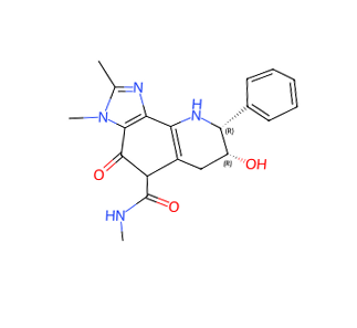 CNC(=O)C1C(=O)c2c(nc(C)n2C)C2=C1C[C@@H](O)[C@@H](c1ccccc1)N2